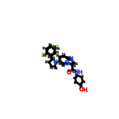 O=C(NC1CCC(O)CC1)c1cnc2ccc(N3CCCC3c3cc(F)ccc3F)cn12